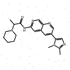 Cc1ncc(-c2cnc3cnc(NC(=O)C(C)N4CCCCC4)cc3c2)n1C